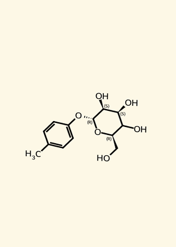 Cc1ccc(O[C@H]2O[C@H](CO)C(O)[C@H](O)[C@@H]2O)cc1